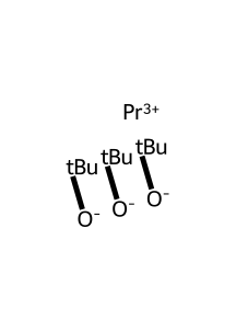 CC(C)(C)[O-].CC(C)(C)[O-].CC(C)(C)[O-].[Pr+3]